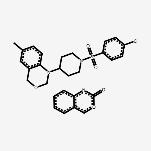 Cc1ccc2c(c1)COCN2C1CCN(S(=O)(=O)c2ccc(Cl)cc2)CC1.O=c1nc2ccccc2co1